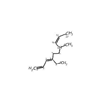 C=C/C=C(\CC)CCN(C)/C=C\C